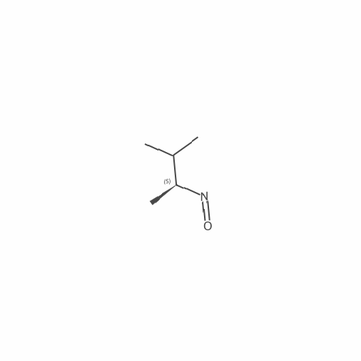 CC(C)[C@H](C)N=O